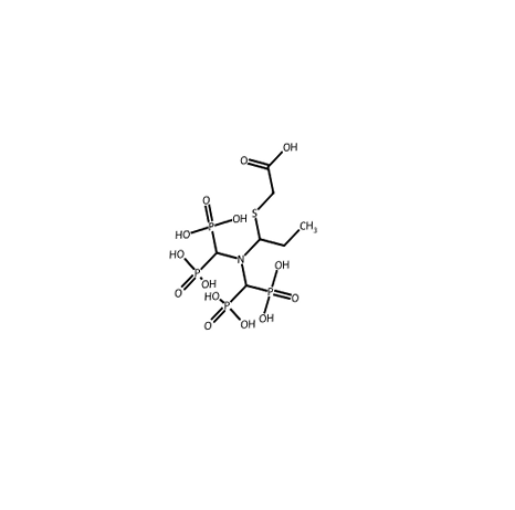 CCC(SCC(=O)O)N(C(P(=O)(O)O)P(=O)(O)O)C(P(=O)(O)O)P(=O)(O)O